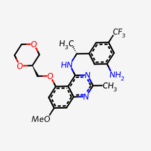 COc1cc(OC[C@@H]2COCCO2)c2c(N[C@H](C)c3cc(N)cc(C(F)(F)F)c3)nc(C)nc2c1